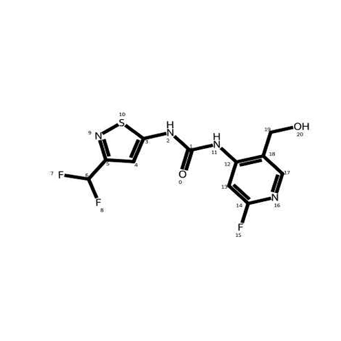 O=C(Nc1cc(C(F)F)ns1)Nc1cc(F)ncc1CO